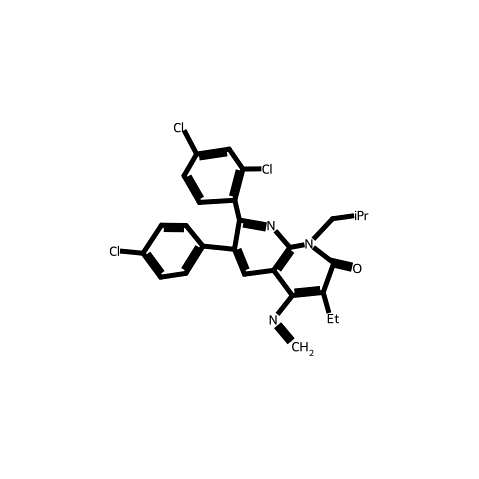 C=Nc1c(CC)c(=O)n(CC(C)C)c2nc(-c3ccc(Cl)cc3Cl)c(-c3ccc(Cl)cc3)cc12